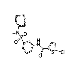 CN(c1ccccc1)S(=O)(=O)c1cccc(NC(=O)c2ccc(Cl)s2)c1